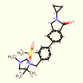 CN1CN(Cc2ccc(-c3ccc4c(c3)CN(C3CC3)C4=O)cc2S(C)(=O)=O)C(C)(C)C1